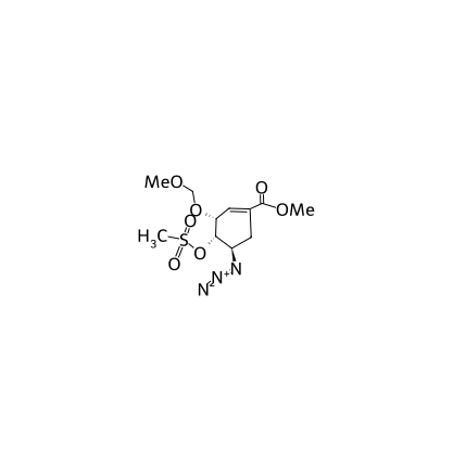 COCO[C@@H]1C=C(C(=O)OC)C[C@@H](N=[N+]=[N-])[C@@H]1OS(C)(=O)=O